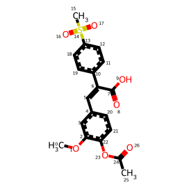 COc1cc(C=C(C(=O)O)c2ccc(S(C)(=O)=O)cc2)ccc1OC(C)=O